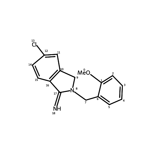 COc1ccccc1CN1Cc2cc(Cl)ccc2C1=N